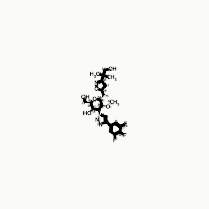 CO[C@@H]1[C@@H](n2cc(-c3cc(F)c(F)c(F)c3)nn2)[C@@H](O)[C@@H](CO)O[C@@H]1CC1CC(C(C)(C)CO)=NO1